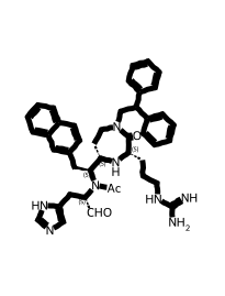 CC(=O)N([C@H](C=O)Cc1cnc[nH]1)[C@@H](Cc1ccc2ccccc2c1)[C@@H]1CCN(CC(c2ccccc2)c2ccccc2)C(=O)[C@H](CCCNC(=N)N)N1